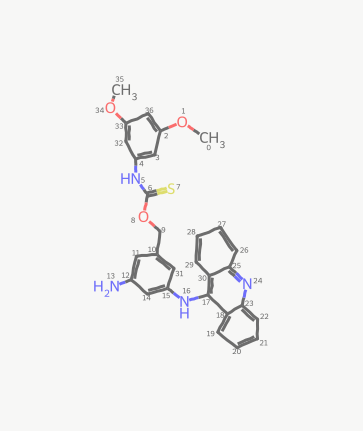 COc1cc(NC(=S)OCc2cc(N)cc(Nc3c4ccccc4nc4ccccc34)c2)cc(OC)c1